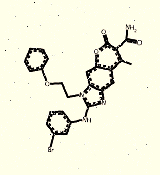 Cc1c(C(N)=O)c(=O)oc2cc3c(cc12)nc(Nc1cccc(Br)c1)n3CCOc1ccccc1